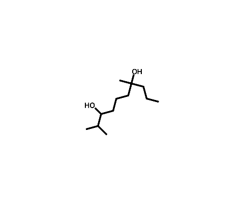 CCCC(C)(O)CCCC(O)C(C)C